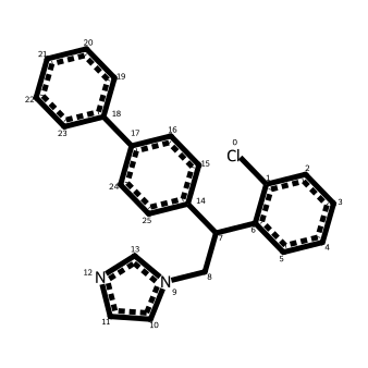 Clc1ccccc1C(Cn1ccnc1)c1ccc(-c2ccccc2)cc1